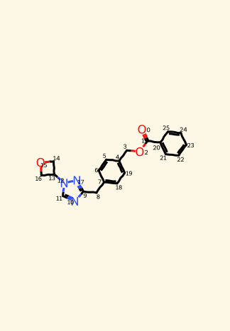 O=C(OCc1ccc(Cc2ncn(C3COC3)n2)cc1)c1ccccc1